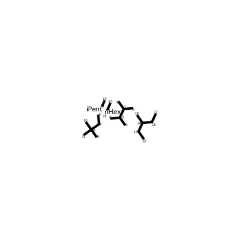 CC(C)C(C)C.CCC(C)(C)C.CCC(C)CC.CCCC(C)C.CCCCCCC